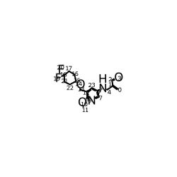 C=C(C=O)CNc1cnc(OC)c(COC2CCC(F)(F)CC2)c1